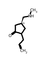 C=CCC1C[C@H](CNC)CC1=O